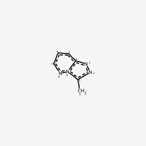 [CH2]c1nnc2cccnn12